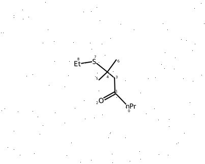 CCCC(=O)CC(C)(C)SCC